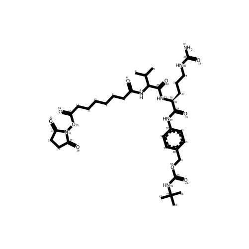 CC(C)C(NC(=O)CCCCCCC(=O)ON1C(=O)CCC1=O)C(=O)N[C@@H](CCCNC(N)=O)C(=O)Nc1ccc(COC(=O)NC(C)(C)C)cc1